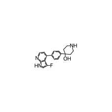 OC1(c2ccc(-c3ccnc4[nH]cc(F)c34)cc2)CCNCC1